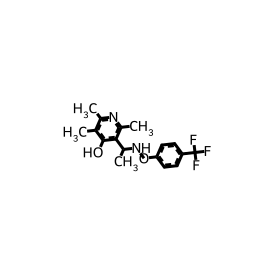 Cc1nc(C)c(C(C)NOc2ccc(C(F)(F)F)cc2)c(O)c1C